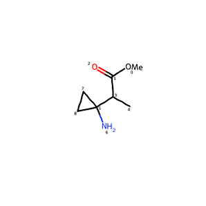 COC(=O)C(C)C1(N)CC1